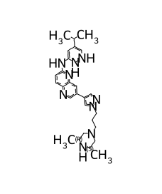 CC(C)C1=CNNC(Nc2ccc3ncc(-c4cnn(CCCN5C[C@@H](C)N[C@@H](C)C5)c4)cc3n2)=C1